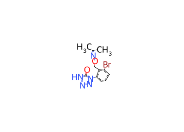 CC(C)=NOCc1c(Br)cccc1-n1nn[nH]c1=O